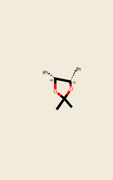 CC(C)[C@H]1OC(C)(C)O[C@H]1C(C)C